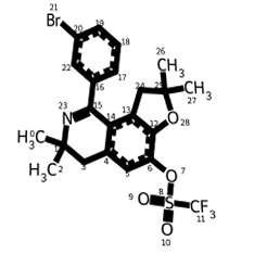 CC1(C)Cc2cc(OS(=O)(=O)C(F)(F)F)c3c(c2C(c2cccc(Br)c2)=N1)CC(C)(C)O3